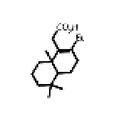 CCC1=C(CC(=O)O)C2(C)CCCC(C)(C)C2CC1